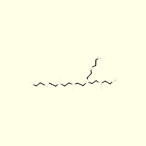 NCCNCCNCCNCCN(CCNCCN)CCNCCN